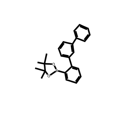 CC1(C)OB(c2ccccc2-c2cccc(-c3ccccc3)c2)OC1(C)C